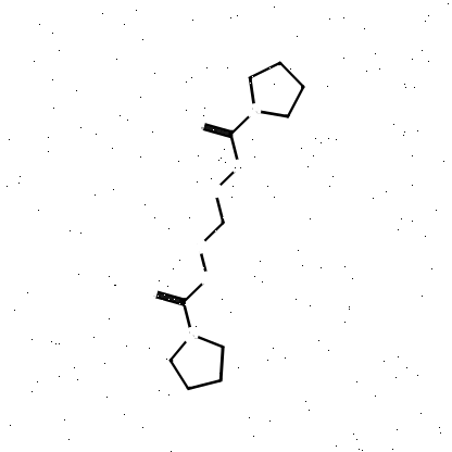 S=C(SSCSSC(=S)N1CCCC1)N1CCCC1